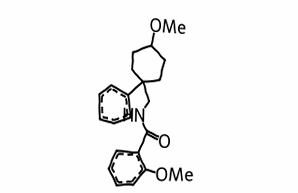 COc1ccccc1C(=O)NCC1(c2ccccc2)CCC(OC)CC1